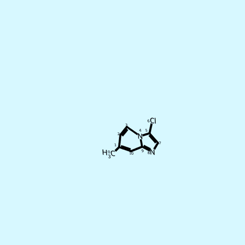 Cc1ccn2c(Cl)cnc2c1